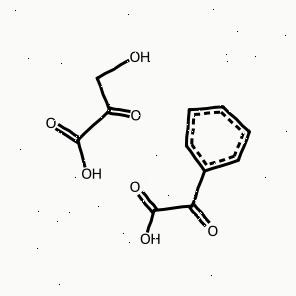 O=C(O)C(=O)CO.O=C(O)C(=O)c1ccccc1